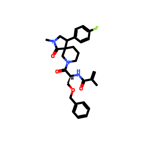 C=C(C)C(=O)N[C@H](COCc1ccccc1)C(=O)N1CCCC2(C1)C(=O)N(C)CC2c1ccc(F)cc1